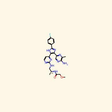 COCC(=O)N[C@@H](C)CNc1nccc(-c2[nH]c(-c3ccc(F)cc3)nc2-c2cnc(N)c(C)n2)n1